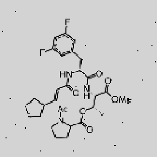 COC(=O)[C@@H](NC(=O)[C@H](Cc1cc(F)cc(F)c1)NC(=O)/C=C/C1CCCC1)[C@H](C)OC(=O)C1CCCN1C(C)=O